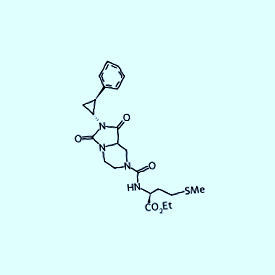 CCOC(=O)[C@H](CCSC)NC(=O)N1CCN2C(=O)N([C@@H]3C[C@H]3c3ccccc3)C(=O)C2C1